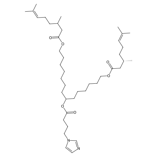 CC(C)=CCCC(C)CC(=O)OCCCCCCCC(CCCCCCOC(=O)C[C@@H](C)CCC=C(C)C)OC(=O)CCCn1ccnc1